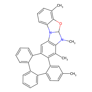 Cc1ccc2c(c1)-c1c(cc3c(c1C)N(C)C1Oc4c(C)cccc4N31)-c1ccccc1-c1ccccc1-2